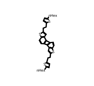 CCCCCCc1ccc(CCc2cc3c4c(ccc3s2)-c2c-4ccc3sc(CCc4ccc(CCCCCC)s4)cc23)s1